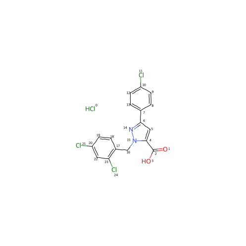 Cl.O=C(O)c1cc(-c2ccc(Cl)cc2)nn1Cc1ccc(Cl)cc1Cl